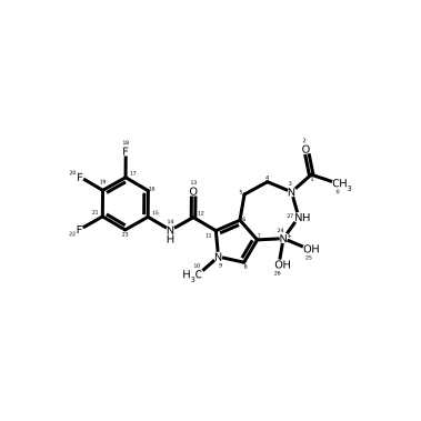 CC(=O)N1CCc2c(cn(C)c2C(=O)Nc2cc(F)c(F)c(F)c2)[N+](O)(O)N1